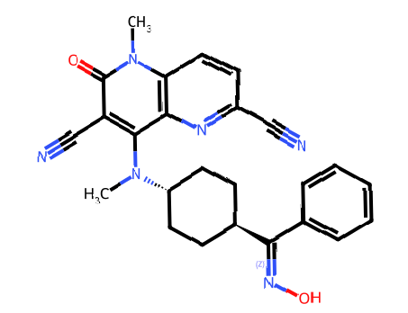 Cn1c(=O)c(C#N)c(N(C)[C@H]2CC[C@H](/C(=N/O)c3ccccc3)CC2)c2nc(C#N)ccc21